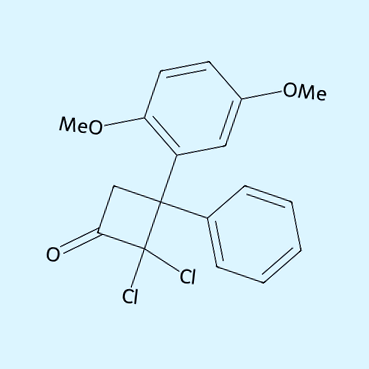 COc1ccc(OC)c(C2(c3ccccc3)CC(=O)C2(Cl)Cl)c1